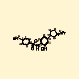 CCCc1ccc(S(=O)(=O)Nc2ccc(C3CCN(CCC)C3)cc2)cc1.Cl